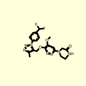 COc1cc(N2CCNC(=O)C2)nnc1OCc1c(C)nnn1-c1ccc(C(F)F)cc1